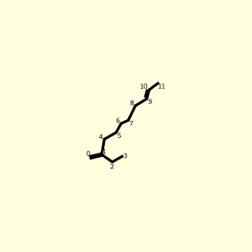 C=C(CC)CCCCCC=CC